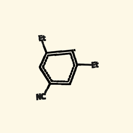 CCc1[c]c(CC)cc(C#N)c1